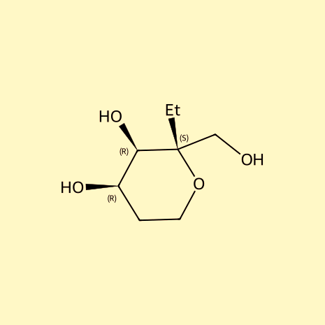 CC[C@@]1(CO)OCC[C@@H](O)[C@H]1O